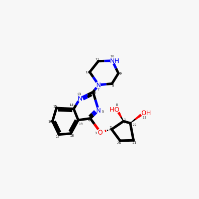 O[C@@H]1[C@@H](Oc2nc(N3CCNCC3)nc3ccccc23)CC[C@@H]1O